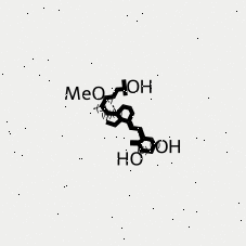 C=C1C(=CC=C2CCC[C@@]3(C)C2CC[C@@H]3[C@H](C)[C@@H](CCC(C)(C)O)OC)C[C@@H](O)C[C@@H]1O